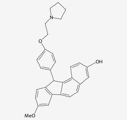 COc1ccc2c(c1)-c1ccc3cc(O)ccc3c1C2c1ccc(OCCN2CCCC2)cc1